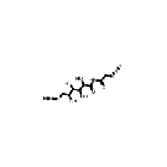 [N-]=[N+]=NCC(=O)NC(=O)C(O)C(O)C(O)C(O)CN=[N+]=[N-]